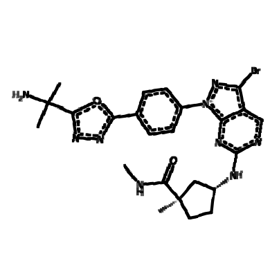 CNC(=O)[C@]1(C)CC[C@@H](Nc2ncc3c(Br)nn(-c4ccc(-c5nnc(C(C)(C)N)o5)cc4)c3n2)C1